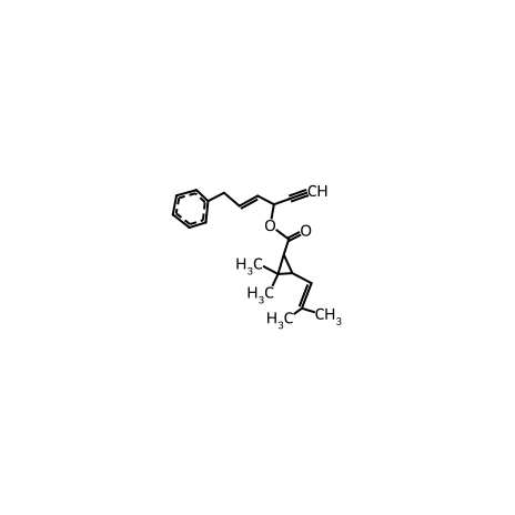 C#CC(/C=C/Cc1ccccc1)OC(=O)C1C(C=C(C)C)C1(C)C